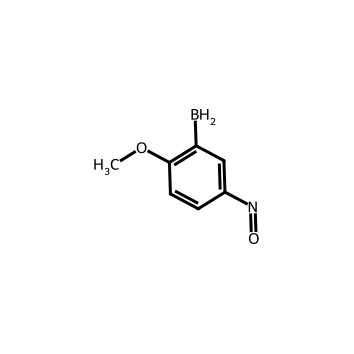 Bc1cc(N=O)ccc1OC